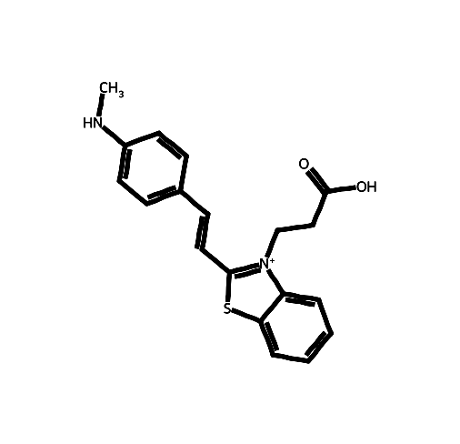 CNc1ccc(/C=C/c2sc3ccccc3[n+]2CCC(=O)O)cc1